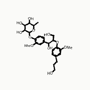 COc1cc(CCCO)ccc1OC(CO)C(O)c1ccc(OC2OC(C)C(O)C(O)C2O)c(OC)c1